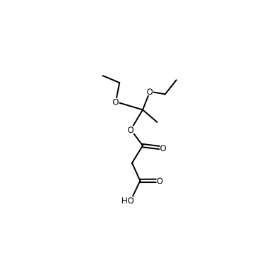 CCOC(C)(OCC)OC(=O)CC(=O)O